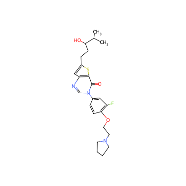 CC(C)C(O)CCc1cc2ncn(-c3ccc(OCCN4CCCC4)c(F)c3)c(=O)c2s1